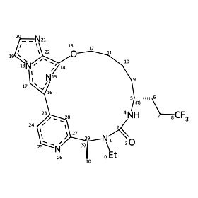 CCN1C(=O)N[C@@H](CCC(F)(F)F)CCCCOc2nc(cn3ccnc23)-c2ccnc(c2)[C@@H]1C